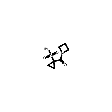 CCC(C)S(=O)(=O)C1(C(=O)N2CCC2)CC1